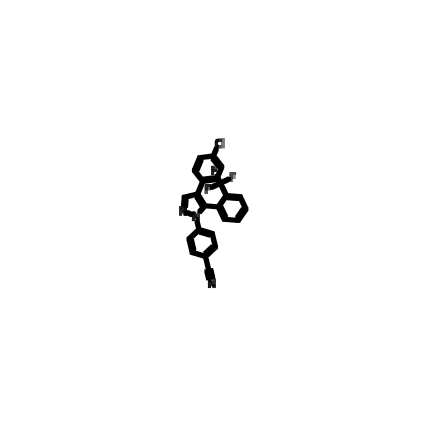 N#Cc1ccc(-n2ncc(-c3ccc(Cl)cc3)c2-c2ccccc2C(F)(F)F)cc1